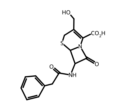 O=C(Cc1ccccc1)NC1C(=O)N2C(C(=O)O)=C(CO)CSC12